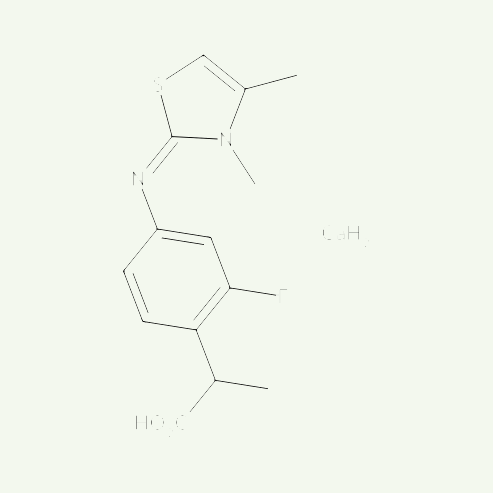 Cc1csc(=Nc2ccc(C(C)C(=O)O)c(F)c2)n1C.[CaH2]